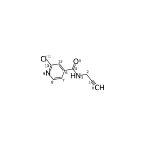 C#CCNC(=O)c1ccnc(Cl)c1